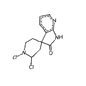 O=C1Nc2ncccc2C12CCN(Cl)C(Cl)C2